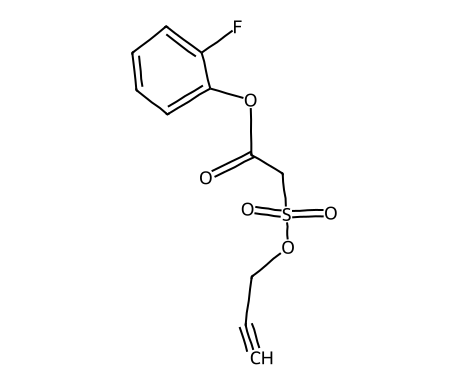 C#CCOS(=O)(=O)CC(=O)Oc1ccccc1F